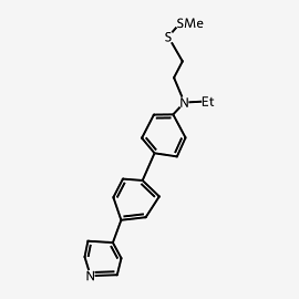 CCN(CCSSC)c1ccc(-c2ccc(-c3ccncc3)cc2)cc1